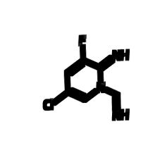 N=Cn1cc(Cl)cc(F)c1=N